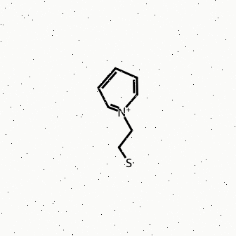 [S]CC[n+]1ccccc1